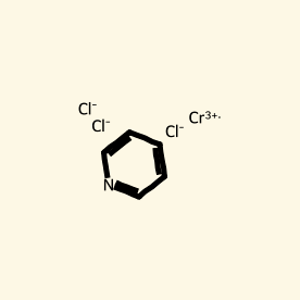 [Cl-].[Cl-].[Cl-].[Cr+3].c1ccncc1